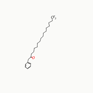 O=C(CCCCCCCCCCCCCCC(F)(F)F)Cc1ccccc1